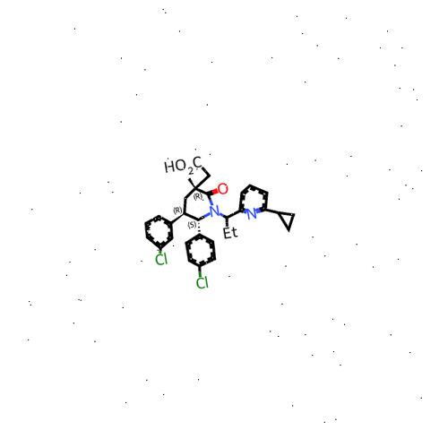 CCC(c1cccc(C2CC2)n1)N1C(=O)[C@@](C)(CC(=O)O)C[C@H](c2cccc(Cl)c2)[C@H]1c1ccc(Cl)cc1